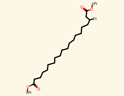 CCCOC(=O)CCCCCCCCCCCCCCCCC(CC)CC(=O)OCCC